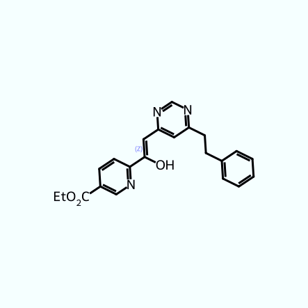 CCOC(=O)c1ccc(/C(O)=C/c2cc(CCc3ccccc3)ncn2)nc1